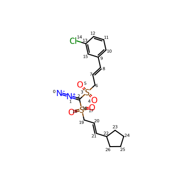 [N-]=[N+]=C(S(=O)(=O)CC=Cc1cccc(Cl)c1)S(=O)(=O)CC=CC1CCCC1